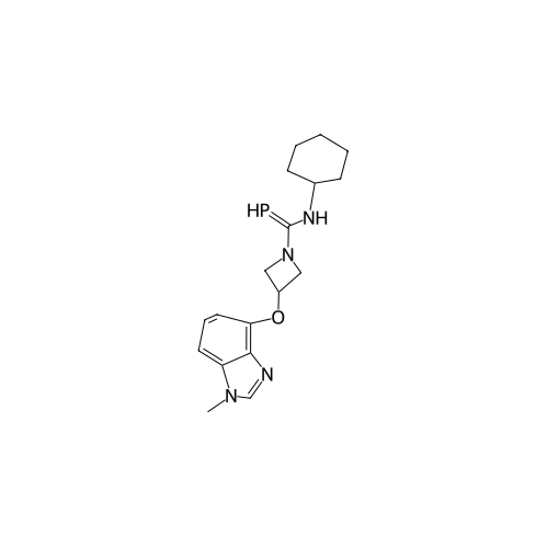 Cn1cnc2c(OC3CN(C(=P)NC4CCCCC4)C3)cccc21